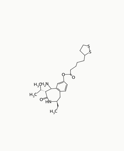 CC[C@@H]1Cc2ccc(OC(=O)CCCCC3CCSS3)cc2C(N)[C@@H](C(C)C)C(=O)N1